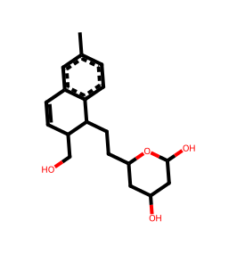 Cc1ccc2c(c1)C=CC(CO)C2CCC1CC(O)CC(O)O1